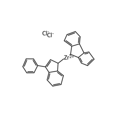 C1=C(c2ccccc2)c2ccccc2[CH]1[Zr+2][CH]1c2ccccc2-c2ccccc21.[Cl-].[Cl-]